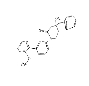 COc1ccccc1-c1cccc(N2CCC(C)(c3ccccc3)CC2=O)c1